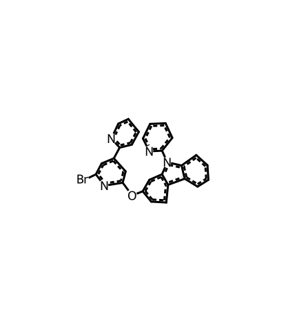 Brc1cc(-c2ccccn2)cc(Oc2ccc3c4ccccc4n(-c4ccccn4)c3c2)n1